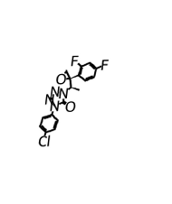 C[C@@H](n1nnn(-c2ccc(Cl)cc2)c1=O)[C@@]1(c2ccc(F)cc2F)CO1